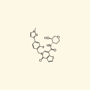 Cn1ccc(-c2ccc(Cn3cc(C(=O)N[C@H]4CCOC[C@@H]4O)c4sccc4c3=O)c(F)c2)n1